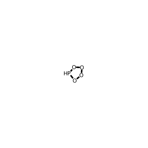 o1oo[pH]o1